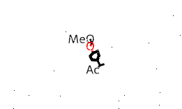 COCOc1ccc(C(C)C(C)=O)cc1